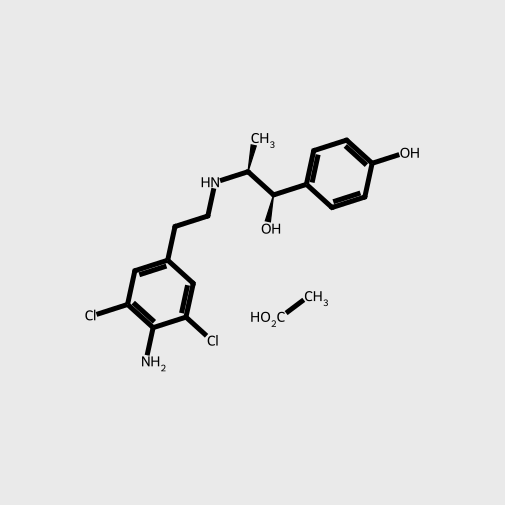 CC(=O)O.C[C@H](NCCc1cc(Cl)c(N)c(Cl)c1)[C@H](O)c1ccc(O)cc1